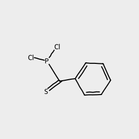 S=C(c1ccccc1)P(Cl)Cl